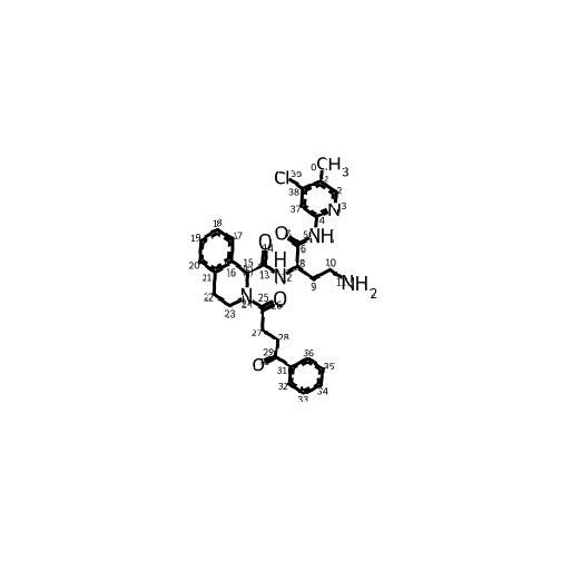 Cc1cnc(NC(=O)C(CCN)NC(=O)[C@@H]2c3ccccc3CCN2C(=O)CCC(=O)c2ccccc2)cc1Cl